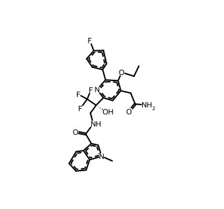 CCOc1c(CC(N)=O)cc([C@@](O)(CNC(=O)c2cn(C)c3ccccc23)C(F)(F)F)nc1-c1ccc(F)cc1